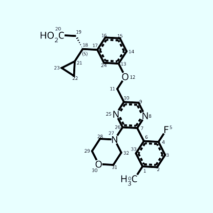 Cc1ccc(F)c(-c2ncc(COc3cccc([C@@H](CC(=O)O)C4CC4)c3)nc2N2CCOCC2)c1